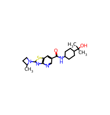 CC1CCN1c1nc2ncc(C(=O)NC3CCC(C(C)(C)O)CC3)cc2s1